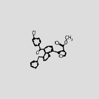 COC(=O)c1ccoc1-c1ccc(C(=O)c2ccc(Cl)cc2)c2c(Cc3ccccc3)cccc12